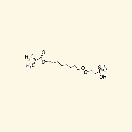 C=C(C)C(=O)OCCCCCCCCOOCCP(=O)(O)O